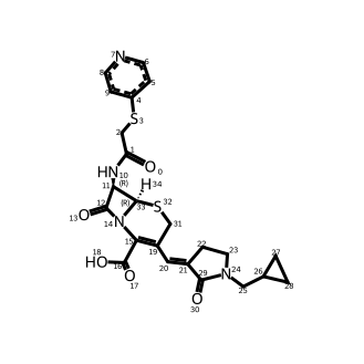 O=C(CSc1ccncc1)N[C@@H]1C(=O)N2C(C(=O)O)=C(C=C3CCN(CC4CC4)C3=O)CS[C@H]12